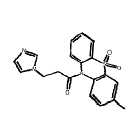 Cc1ccc2c(c1)S(=O)(=O)c1ccccc1N2C(=O)CCn1ccnc1